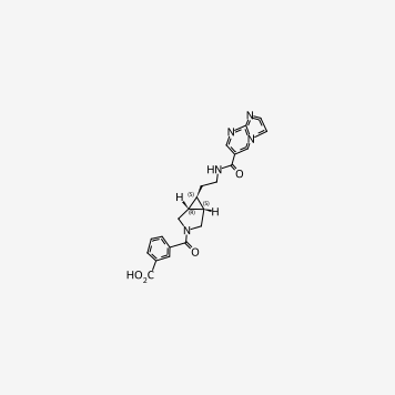 O=C(O)c1cccc(C(=O)N2C[C@@H]3[C@@H](CCNC(=O)c4cnc5nccn5c4)[C@@H]3C2)c1